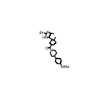 CNc1ccc(C2CCN(C(=O)c3ccc(C)c(-c4[nH]c(C(C)C)nc4C)c3)CC2)cc1